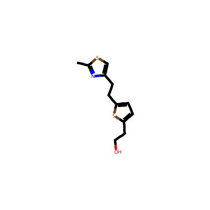 Cc1nc(CCc2ccc(CCO)s2)cs1